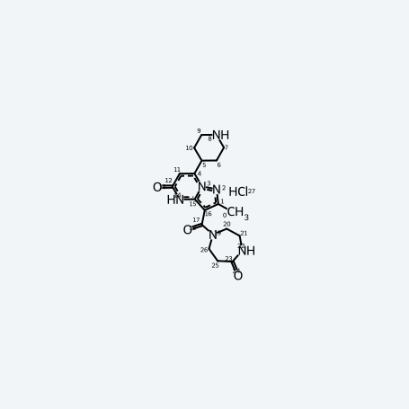 Cc1nn2c(C3CCNCC3)cc(=O)[nH]c2c1C(=O)N1CCNC(=O)CC1.Cl